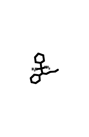 CCCCC(C1CCCCC1)C(N)(N)C1CCCCC1